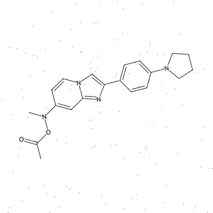 CC(=O)ON(C)c1ccn2cc(-c3ccc(N4CCCC4)cc3)nc2c1